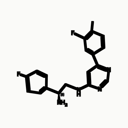 Cc1ccc(-c2cc(NC[C@H](N)c3ccc(F)cc3)ncn2)cc1F